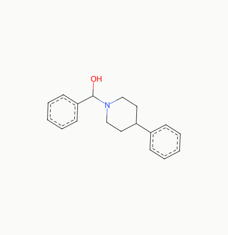 OC(c1ccccc1)N1CCC(c2ccccc2)CC1